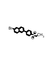 CCS(=O)(=O)c1ccc(-c2ccc3cc(Br)ccc3c2)cc1